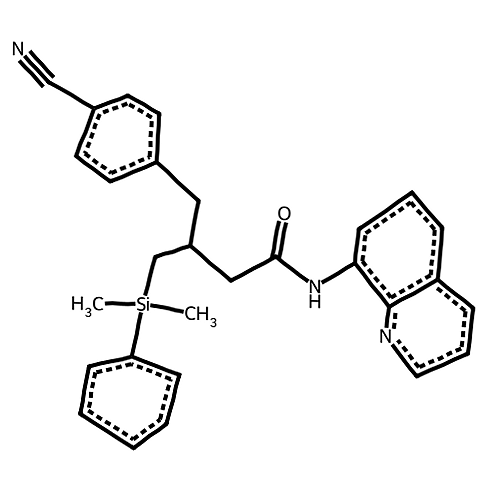 C[Si](C)(CC(CC(=O)Nc1cccc2cccnc12)Cc1ccc(C#N)cc1)c1ccccc1